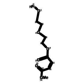 CCCOCCOCCOC(=O)/C=C\C(=O)OC